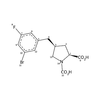 O=C(O)[C@@H]1C[C@H](Cc2cc(F)cc(Br)c2)CN1C(=O)O